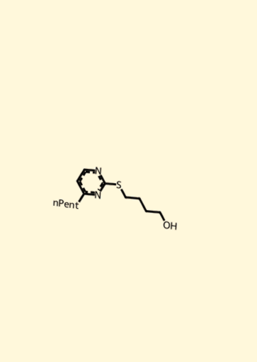 CCCCCc1ccnc(SCCCCO)n1